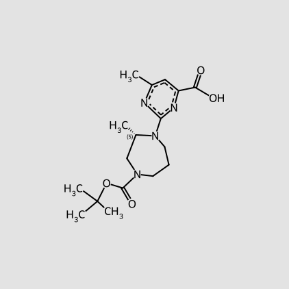 Cc1cc(C(=O)O)nc(N2CCCN(C(=O)OC(C)(C)C)C[C@@H]2C)n1